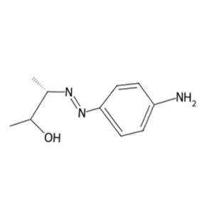 CC(O)[C@H](C)/N=N/c1ccc(N)cc1